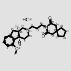 COc1cccc2c1[C@@H]1CCN(CCCN3C(=O)CC4(CCCC4)CC3=O)C[C@@H]1C2.Cl